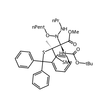 CCCCCON(NCCC)[C@](NC(=O)OC(C)(C)C)(C(=O)OC)[C@@](C)(CSC)SC(c1ccccc1)(c1ccccc1)c1ccccc1